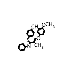 COc1ccc(O/C=C(C)/C(=N/c2ccccc2)Sc2ccc(C)cc2)cc1